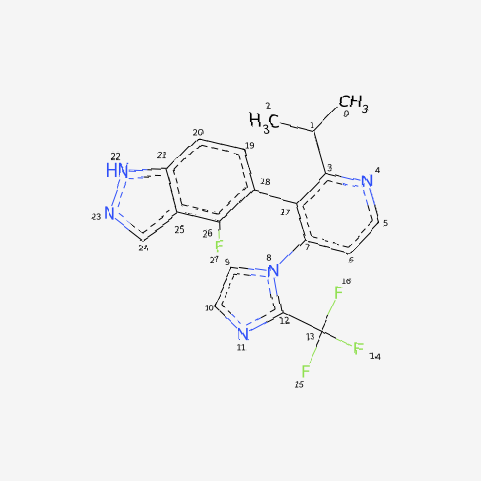 CC(C)c1nccc(-n2ccnc2C(F)(F)F)c1-c1ccc2[nH]ncc2c1F